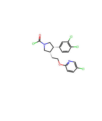 O=C(Cl)N1C[C@@H](CCOc2ccc(Cl)cn2)[C@@H](c2ccc(Cl)c(Cl)c2)C1